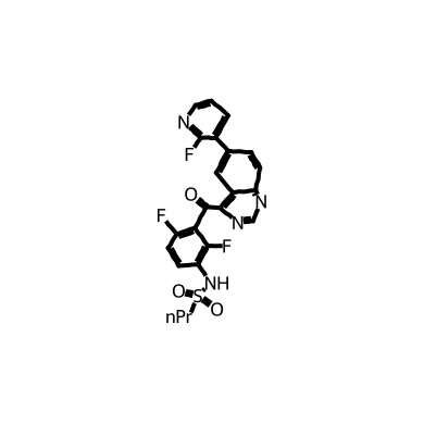 CCCS(=O)(=O)Nc1ccc(F)c(C(=O)c2ncnc3ccc(-c4cccnc4F)cc23)c1F